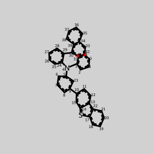 c1ccc(N(c2cccc(-c3ccc4c(c3)sc3ccccc34)c2)c2ccccc2-c2cccc3ccccc23)cc1